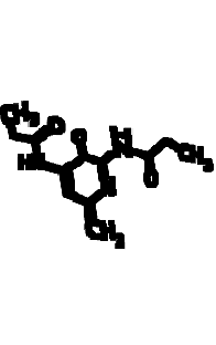 C=C1C=C(NC(=O)CC)C(=O)C(NC(=O)CC)=N1